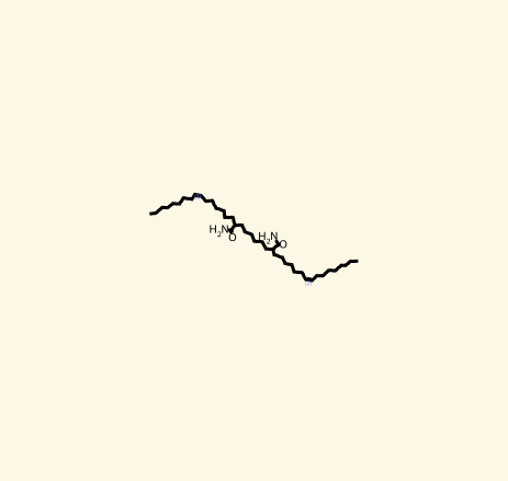 CCCCCCCC/C=C\CCCCCCC(CCCCCCC(CCCCCC/C=C\CCCCCCCC)C(N)=O)C(N)=O